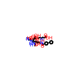 CC(=O)N[C@@H]1[C@@H](NC(=O)CN(C)C)[C@H](O)[C@](OCCCCCC(=O)O)(C(=O)O)O[C@H]1[C@H](O)[C@H](O)CNC(=O)c1ccc(-c2ccccc2)cc1